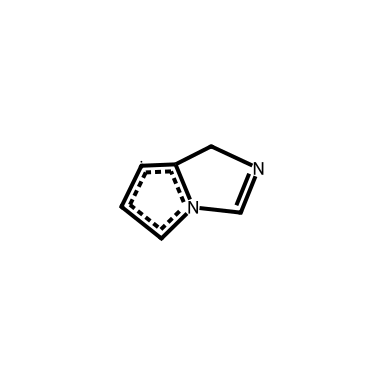 [c]1ccn2c1CN=C2